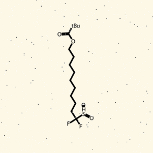 CC(C)(C)C(=O)OCCCCCCCCCC(F)(F)[SH](=O)=O